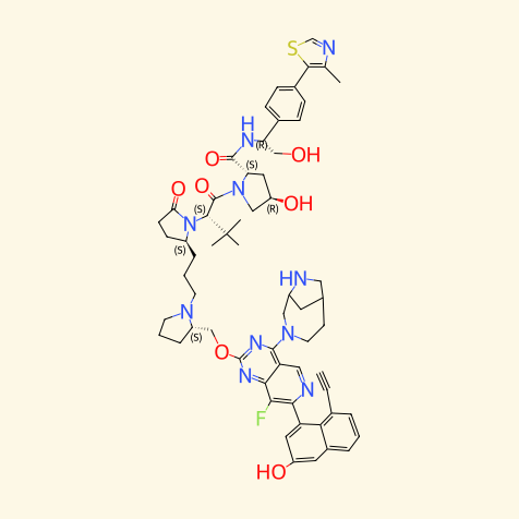 C#Cc1cccc2cc(O)cc(-c3ncc4c(N5CCC6CNC(C6)C5)nc(OC[C@@H]5CCCN5CCC[C@H]5CCC(=O)N5[C@H](C(=O)N5C[C@H](O)C[C@H]5C(=O)N[C@@H](CO)c5ccc(-c6scnc6C)cc5)C(C)(C)C)nc4c3F)c12